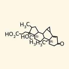 CC1CC2C3C4CC4C4=CC(=O)CC[C@]4(C)C3CC[C@]2(C)[C@]1(O)CCC(=O)O